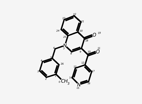 Cc1cccc(Cn2cc(C(=O)c3ccncc3)c(=O)c3ccccc32)c1